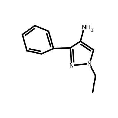 CCn1cc(N)c(-c2ccccc2)n1